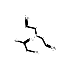 C=CCSCC=C.CCC(=O)O